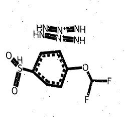 N=[N+]=N.N=[N+]=N.O=[SH](=O)c1ccc(OC(F)F)cc1